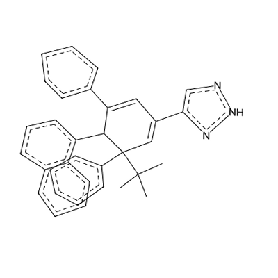 CC(C)(C)C1(c2ccccc2)C=C(c2cn[nH]n2)C=C(c2ccccc2)C1c1cccc2ccccc12